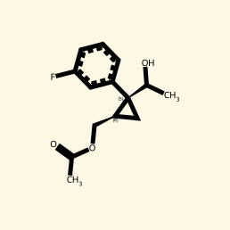 CC(=O)OC[C@@H]1C[C@]1(c1cccc(F)c1)C(C)O